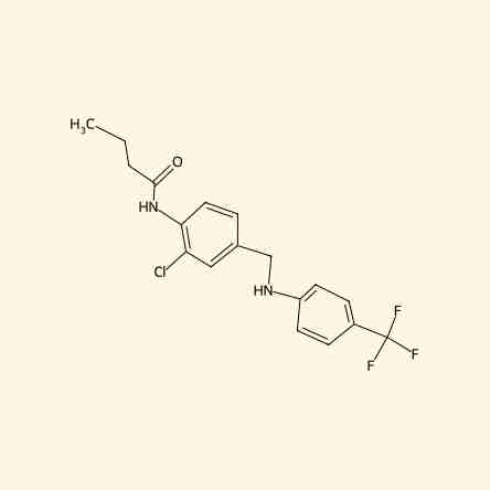 CCCC(=O)Nc1ccc(CNc2ccc(C(F)(F)F)cc2)cc1Cl